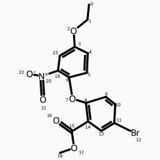 CCOc1ccc(Oc2ccc(Br)cc2C(=O)OC)c([N+](=O)[O-])c1